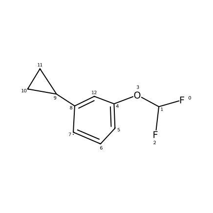 FC(F)Oc1cc[c]c(C2CC2)c1